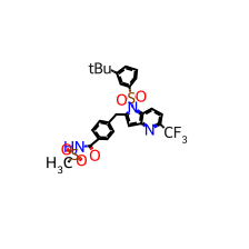 CC(C)(C)c1cccc(S(=O)(=O)n2c(Cc3ccc(C(=O)NS(C)(=O)=O)cc3)cc3nc(C(F)(F)F)ccc32)c1